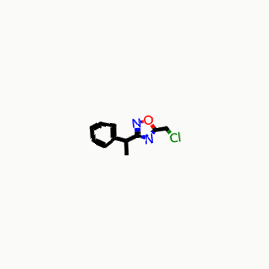 CC(c1ccccc1)c1noc(CCl)n1